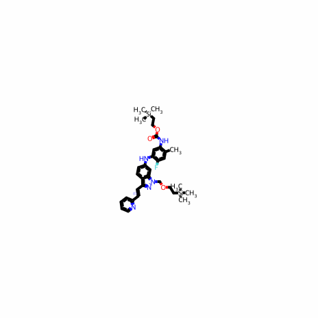 Cc1cc(F)c(Nc2ccc3c(/C=C/c4ccccn4)nn(COCC[Si](C)(C)C)c3c2)cc1NC(=O)OCC[Si](C)(C)C